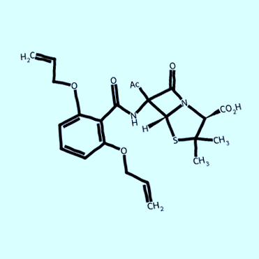 C=CCOc1cccc(OCC=C)c1C(=O)NC1(C(C)=O)C(=O)N2[C@@H](C(=O)O)C(C)(C)S[C@@H]21